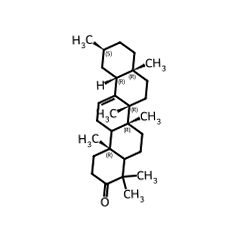 C[C@H]1CC[C@]2(C)CC[C@@]3(C)C(=CCC4[C@@]5(C)CCC(=O)C(C)(C)C5CC[C@]43C)[C@@H]2C1